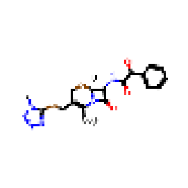 Cn1nnnc1SCC1=C(C(=O)O)N2C(=O)[C@H](NC(=O)C(O)c3ccccc3)[C@@H]2SC1